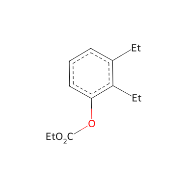 CCOC(=O)Oc1cccc(CC)c1CC